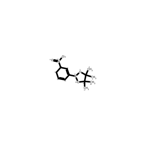 CC1(C)OB(C2=CC([N+](=O)[O-])CC=C2)OC1(C)C